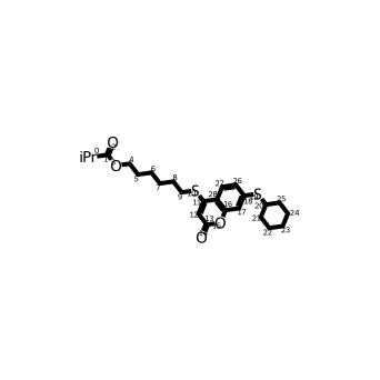 CC(C)C(=O)OCCCCCCSc1cc(=O)oc2cc(SC3CCCCC3)ccc12